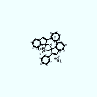 CCC[C]1([Zr][C]2(CCC)C(c3ccccc3)=Cc3cccc(C)c32)C(c2ccccc2)=Cc2cccc(C)c21.Cl.Cl